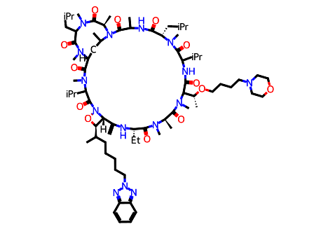 C=C1N[C@@H](CC)C(=O)N(C)[C@H](C)C(=O)N(C)C([C@@H](C)OCCCCN2CCOCC2)C(=O)NC(C(C)C)C(=O)N(C)[C@@H](CC(C)C)C(=O)NC(C)C(=O)N2C(C)C[C@@H](C(=O)N(C)C(C(C)C)C(=O)N3O[C@H](C(C)CCCCCn4nc5ccccc5n4)[C@@H]13)N(C)C(=O)C(CC(C)C)N(C)C(=O)[C@H]2C